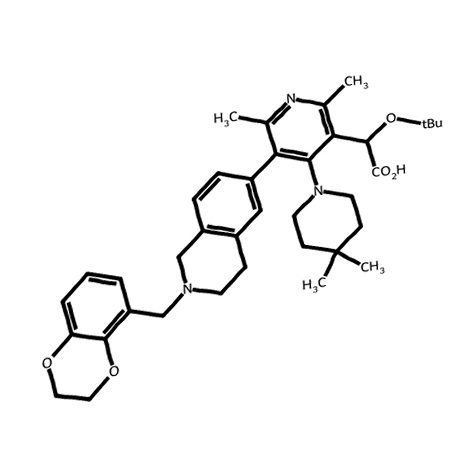 Cc1nc(C)c(C(OC(C)(C)C)C(=O)O)c(N2CCC(C)(C)CC2)c1-c1ccc2c(c1)CCN(Cc1cccc3c1OCCO3)C2